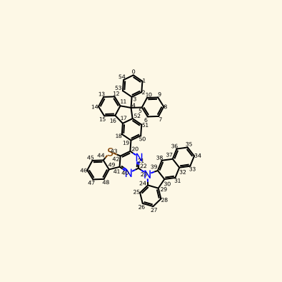 c1ccc(C2(c3ccccc3)c3ccccc3-c3cc(-c4nc(-n5c6ccccc6c6cc7ccccc7cc65)nc5c4sc4ccccc45)ccc32)cc1